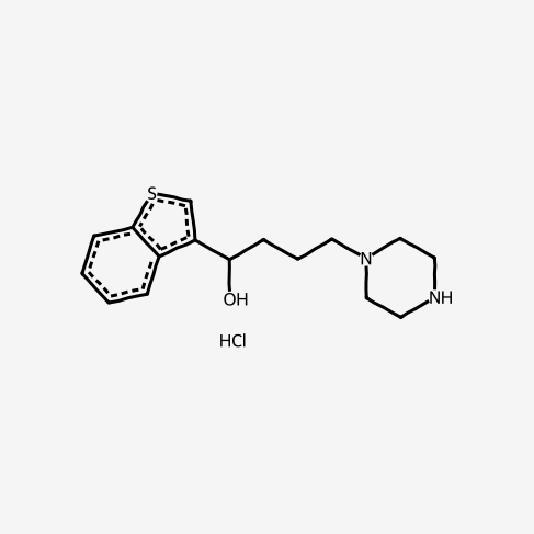 Cl.OC(CCCN1CCNCC1)c1csc2ccccc12